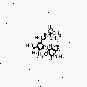 CC(C)(C)NCC(O)c1ccc(O)c(CO)c1.Cn1c(=O)c2[nH]cnc2n(C)c1=O